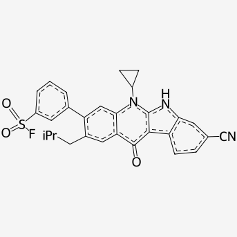 CC(C)Cc1cc2c(=O)c3c4ccc(C#N)cc4[nH]c3n(C3CC3)c2cc1-c1cccc(S(=O)(=O)F)c1